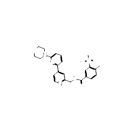 Cc1ccc(C(=O)NCc2cc(-c3cccc(N4C[C@@H](C)O[C@@H](C)C4)n3)ccn2)cc1S(C)(=O)=O